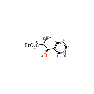 CCOC(=O)C(C(=O)c1cccnc1)C(C)C